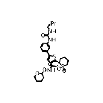 CC(C)CNC(=O)Nc1cccc(-c2ccc([C@@]3(CC(=O)NOC4CCCCO4)CCCCS3(=O)=O)s2)c1